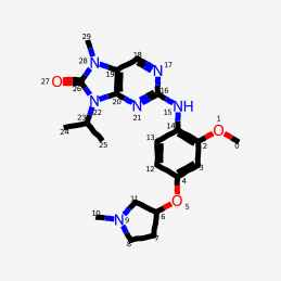 COc1cc(OC2CCN(C)C2)ccc1Nc1ncc2c(n1)n(C(C)C)c(=O)n2C